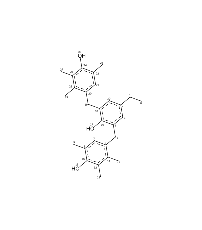 CCc1cc(Cc2cc(C)c(O)c(C)c2C)c(O)c(Cc2cc(C)c(O)c(C)c2C)c1